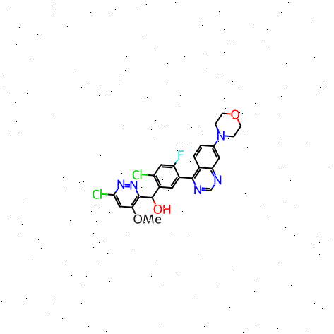 COc1cc(Cl)nnc1C(O)c1cc(-c2ncnc3cc(N4CCOCC4)ccc23)c(F)cc1Cl